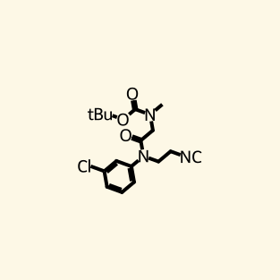 [C-]#[N+]CCN(C(=O)CN(C)C(=O)OC(C)(C)C)c1cccc(Cl)c1